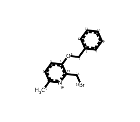 Cc1ccc(OCc2ccccc2)c(CBr)n1